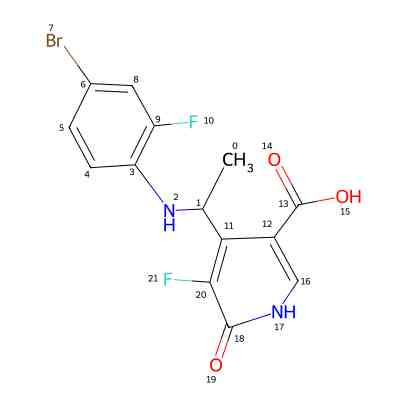 CC(Nc1ccc(Br)cc1F)c1c(C(=O)O)c[nH]c(=O)c1F